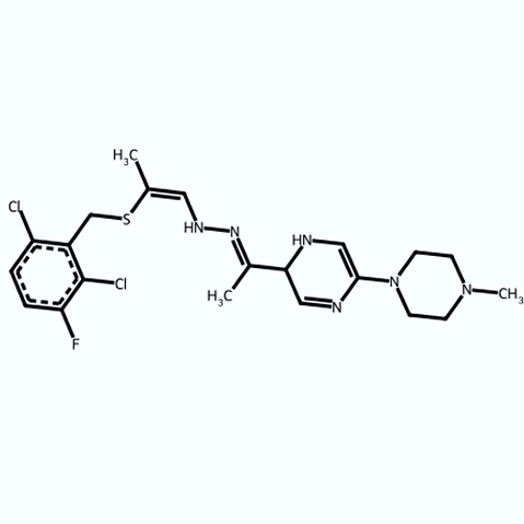 CC(=CN/N=C(\C)C1C=NC(N2CCN(C)CC2)=CN1)SCc1c(Cl)ccc(F)c1Cl